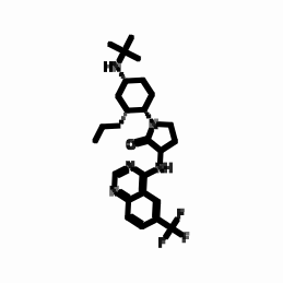 CCC[C@@H]1C[C@H](NC(C)(C)C)CC[C@@H]1N1CCC(Nc2ncnc3ccc(C(F)(F)F)cc23)C1=O